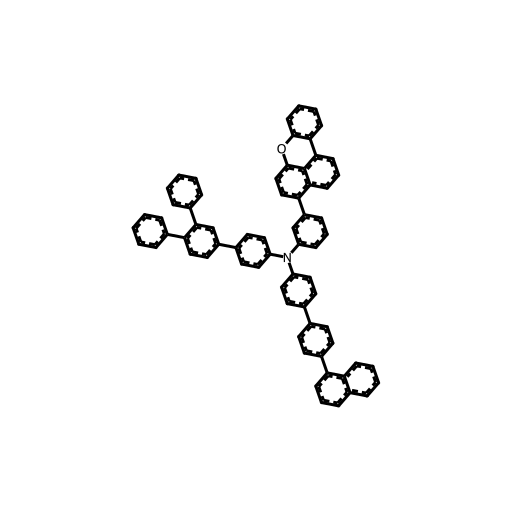 c1ccc(-c2ccc(-c3ccc(N(c4ccc(-c5ccc(-c6cccc7ccccc67)cc5)cc4)c4cccc(-c5ccc6c7c(cccc57)-c5ccccc5O6)c4)cc3)cc2-c2ccccc2)cc1